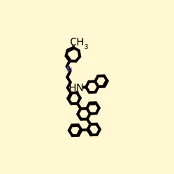 CC1=CC=C(/C=C/CCCC2=CCC(C3CCC(C4CCCC=C4C4=CCCC=C4)C4CCC=CC34)CC2NC2CCC3C=CCCC3C2)CCC1